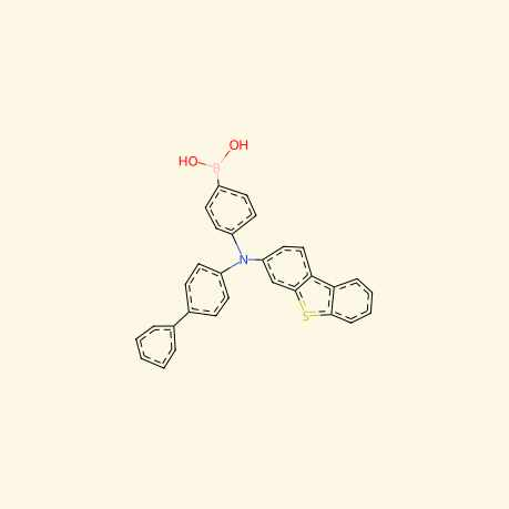 OB(O)c1ccc(N(c2ccc(-c3ccccc3)cc2)c2ccc3c(c2)sc2ccccc23)cc1